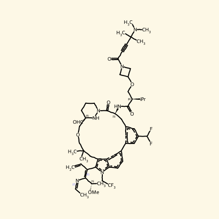 C=C/C(=C(\N=C/C)[C@H](C)OC)c1c2c3cc(ccc3n1CC(F)(F)F)-c1cc(cc(C(F)F)c1)C[C@H](NC(=O)[C@@H](COC1CN(C(=O)C#CC(C)(C)N(C)C)C1)C(C)C)C(=O)N1CCC[C@](C=O)(COCC(C)(C)C2)N1